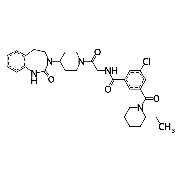 CCC1CCCCN1C(=O)c1cc(Cl)cc(C(=O)NCC(=O)N2CCC(N3CCc4ccccc4NC3=O)CC2)c1